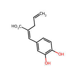 C=CC/C(=C\c1ccc(O)c(O)c1)C(=O)O